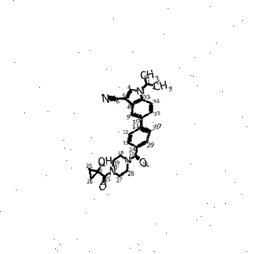 CC(C)n1cc(C#N)c2cc(-c3ccc(C(=O)N4CCN(C(=O)C5(O)CC5)CC4)cc3)ccc21